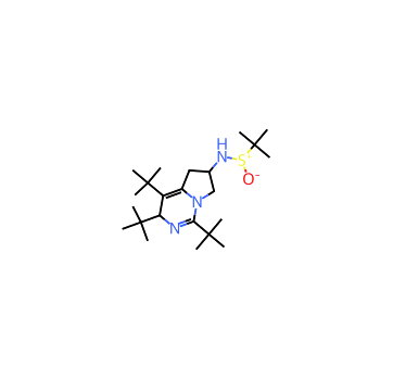 CC(C)(C)C1=NC(C(C)(C)C)C(C(C)(C)C)=C2CC(N[S+]([O-])C(C)(C)C)CN12